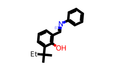 CCC(C)(C)c1cccc(/C=N/c2ccccc2)c1O